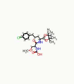 COCC(NC(=O)O)C(=O)N[C@@H](CCCc1ccc(Cl)cc1)B1OC(C)(C)C(C)(C)O1